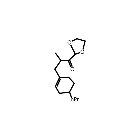 CCCC1CC=C(CC(C)C(=O)C2OCCO2)CC1